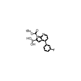 CC(C)(C)OC(=O)n1c(B(O)O)cc2c(-c3cccc(F)c3)ccnc21